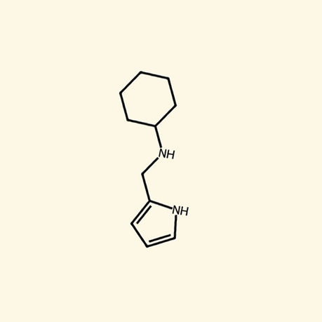 c1c[nH]c(CNC2CCCCC2)c1